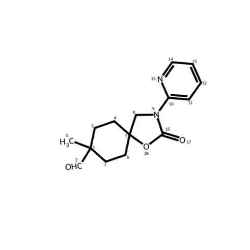 CC1(C=O)CCC2(CC1)CN(c1ccccn1)C(=O)O2